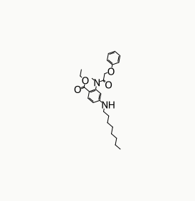 CCCCCCCCNc1ccc(C(=O)OCC)c(N(C)C(=O)COc2ccccc2)c1